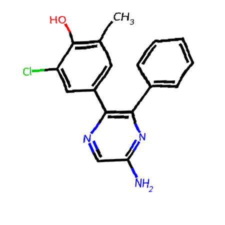 Cc1cc(-c2ncc(N)nc2-c2ccccc2)cc(Cl)c1O